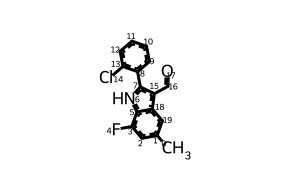 Cc1cc(F)c2[nH]c(-c3ccccc3Cl)c(C=O)c2c1